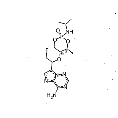 CC(C)NP1(=O)OC[C@@H](OC(CF)c2cnc3c(N)ncnn23)[C@H](C)O1